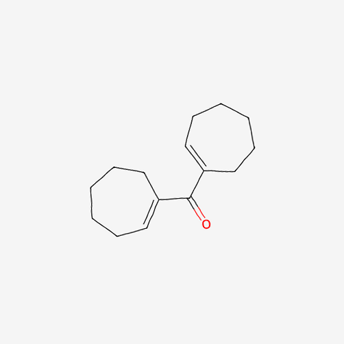 O=C(C1=CCCCCC1)C1=CCCCCC1